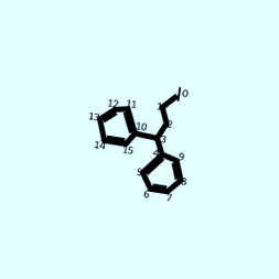 ICCC(c1ccccc1)c1ccccc1